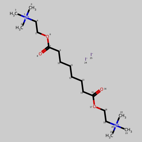 C[N+](C)(C)CCOC(=O)CCCCCCC(=O)OCC[N+](C)(C)C.[I-].[I-]